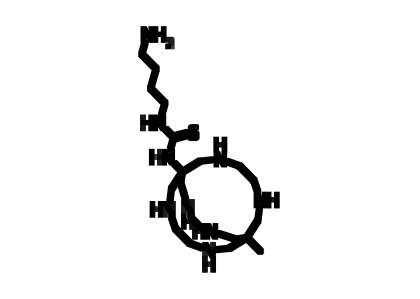 CC12CNCCNCC(NC(=S)NCCCCN)(CNCCNC1)CNCCNC2